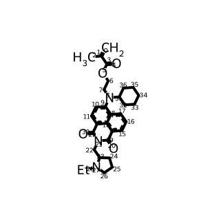 C=C(C)C(=O)OCCN(c1ccc2c3c(cccc13)C(=O)N(CC1CCCN1CC)C2=O)C1CCCCC1